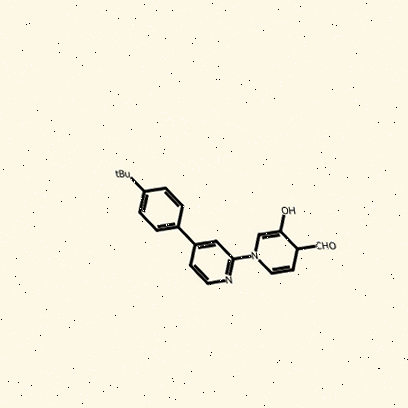 CC(C)(C)c1ccc(-c2ccnc(N3C=CC(C=O)C(O)=C3)c2)cc1